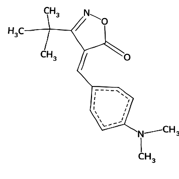 CN(C)c1ccc(C=C2C(=O)ON=C2C(C)(C)C)cc1